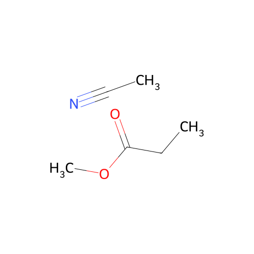 CC#N.CCC(=O)OC